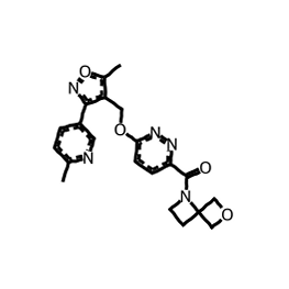 Cc1ccc(-c2noc(C)c2COc2ccc(C(=O)N3CCC34COC4)nn2)cn1